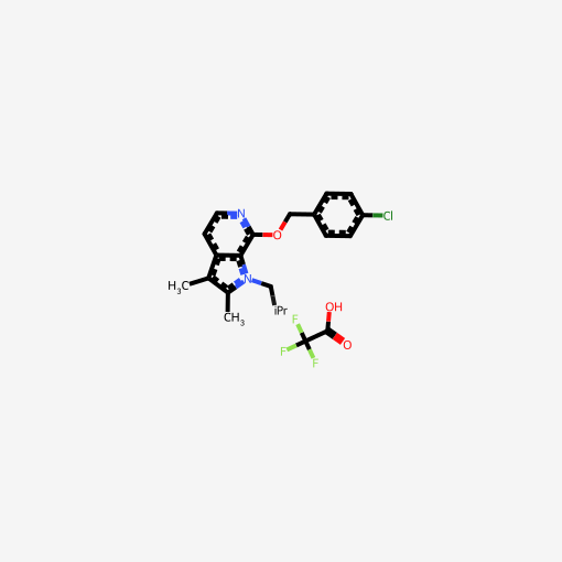 Cc1c(C)n(CC(C)C)c2c(OCc3ccc(Cl)cc3)nccc12.O=C(O)C(F)(F)F